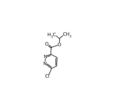 CC(C)OC(=O)c1ccc(Cl)nn1